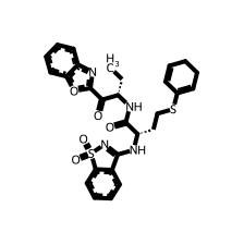 CC[C@H](NC(=O)[C@H](CCSC1=CCCC=C1)NC1=NS(=O)(=O)c2ccccc21)C(=O)c1nc2ccccc2o1